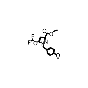 CCOC(=O)c1cc(OC(F)F)n(Cc2ccc(OC)cc2)n1